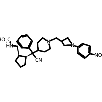 N#CC(c1ccccc1)(C1CCN(CC2CN(c3ccc([N+](=O)[O-])cc3)C2)CC1)[C@H]1CCC[C@H]1CNC(=O)O